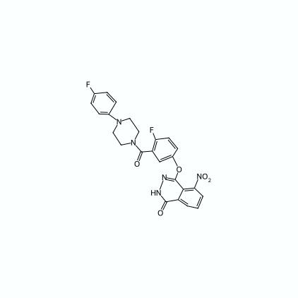 O=C(c1cc(Oc2n[nH]c(=O)c3cccc([N+](=O)[O-])c23)ccc1F)N1CCN(c2ccc(F)cc2)CC1